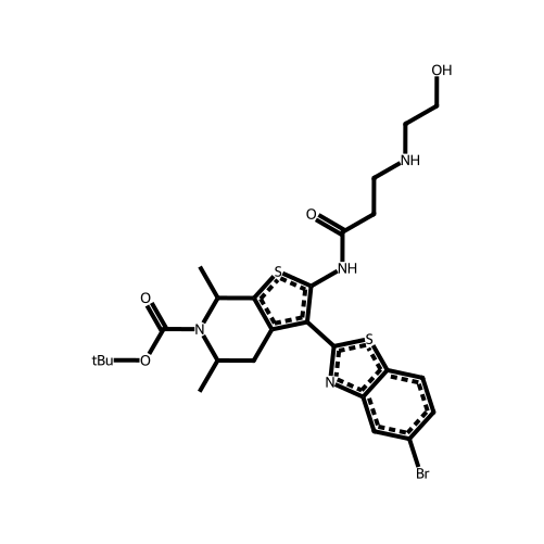 CC1Cc2c(sc(NC(=O)CCNCCO)c2-c2nc3cc(Br)ccc3s2)C(C)N1C(=O)OC(C)(C)C